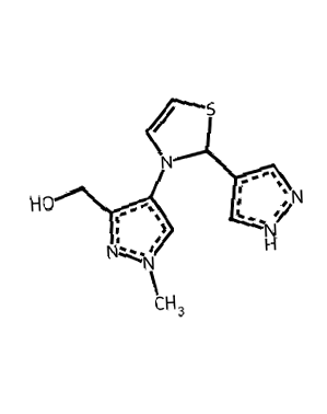 Cn1cc(N2C=CSC2c2cn[nH]c2)c(CO)n1